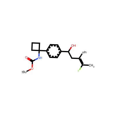 CCC/C(CC(O)c1ccc(C2(NC(=O)OC(C)(C)C)CCC2)cc1)=C(\C)F